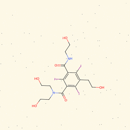 O=C(NCCO)c1c(I)c(CCO)c(I)c(C(=O)N(CCO)CCO)c1I